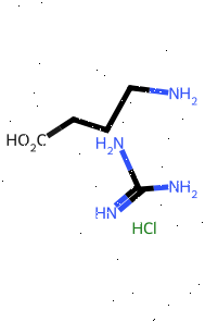 Cl.N=C(N)N.NCCCC(=O)O